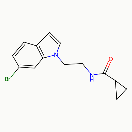 O=C(NCCn1ccc2ccc(Br)cc21)C1CC1